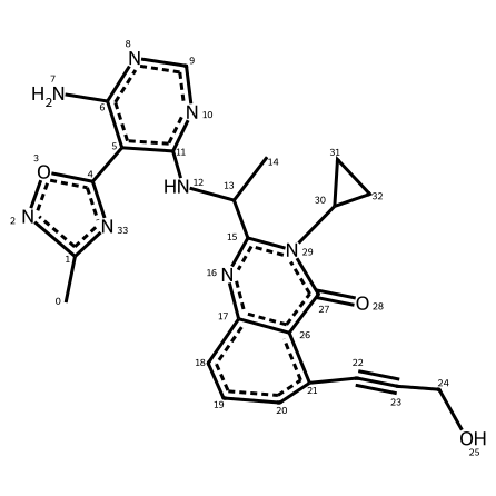 Cc1noc(-c2c(N)ncnc2NC(C)c2nc3cccc(C#CCO)c3c(=O)n2C2CC2)n1